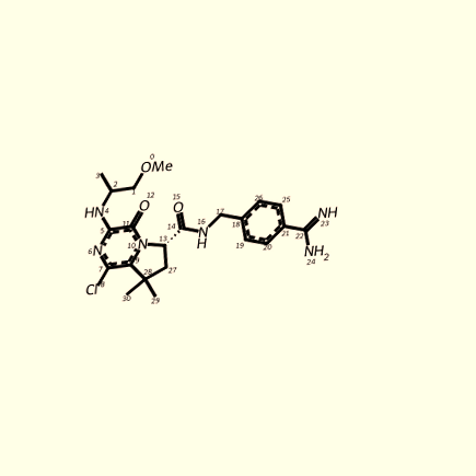 COCC(C)Nc1nc(Cl)c2n(c1=O)[C@H](C(=O)NCc1ccc(C(=N)N)cc1)CC2(C)C